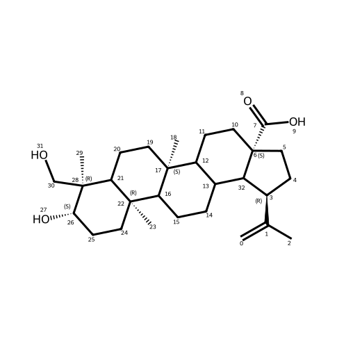 C=C(C)[C@@H]1CC[C@]2(C(=O)O)CCC3C(CCC4[C@@]3(C)CCC3[C@]4(C)CC[C@H](O)[C@@]3(C)CO)C12